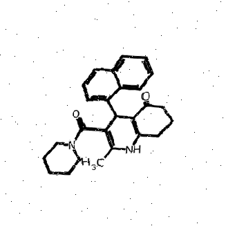 CC1=C(C(=O)N2CCCCC2)C(c2cccc3ccccc23)C2=C(CCCC2=O)N1